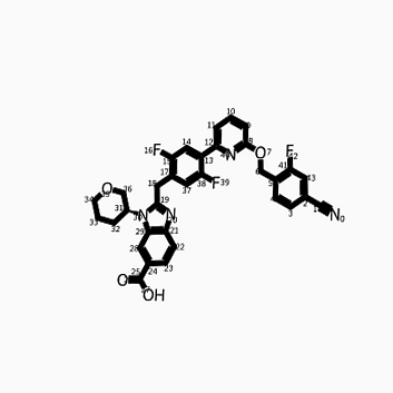 N#Cc1ccc(COc2cccc(-c3cc(F)c(Cc4nc5ccc(C(=O)O)cc5n4[C@H]4CCCOC4)cc3F)n2)c(F)c1